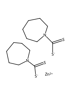 S=C([S-])N1CCCCCC1.S=C([S-])N1CCCCCC1.[Zn+2]